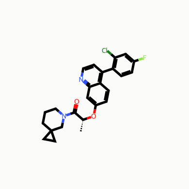 C[C@@H](Oc1ccc2c(-c3ccc(F)cc3Cl)ccnc2c1)C(=O)N1CCCC2(CC2)C1